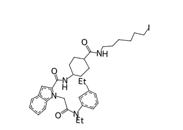 CCc1cccc(N(CC)C(=O)Cn2c(C(=O)NC3CCC(C(=O)NCCCCCCI)CC3)cc3ccccc32)c1